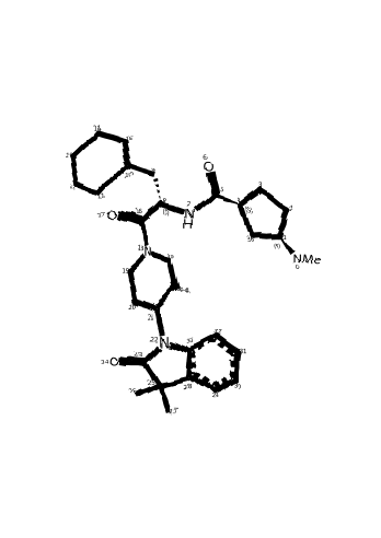 CN[C@@H]1CC[C@H](C(=O)N[C@@H](CC2CCCCC2)C(=O)N2CCC(N3C(=O)C(C)(C)c4ccccc43)CC2)C1